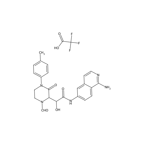 Cc1ccc(N2CCN(C=O)C(C(O)C(=O)Nc3ccc4c(N)nccc4c3)C2=O)cc1.O=C(O)C(F)(F)F